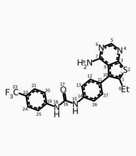 CCc1sc2ncnc(N)c2c1-c1ccc(NC(=O)Nc2ccc(C(F)(F)F)cc2)cc1